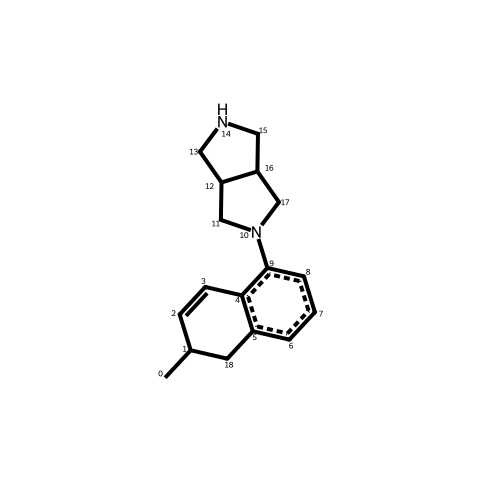 CC1C=Cc2c(cccc2N2CC3CNCC3C2)C1